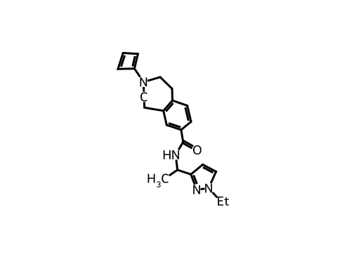 CCn1ccc(C(C)NC(=O)c2ccc3c(c2)CCN(C2=CC=C2)CC3)n1